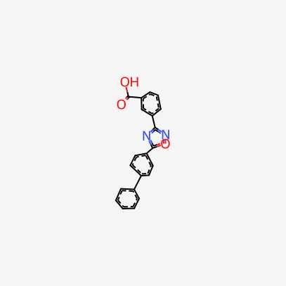 O=C(O)c1cccc(-c2noc(-c3ccc(-c4ccccc4)cc3)n2)c1